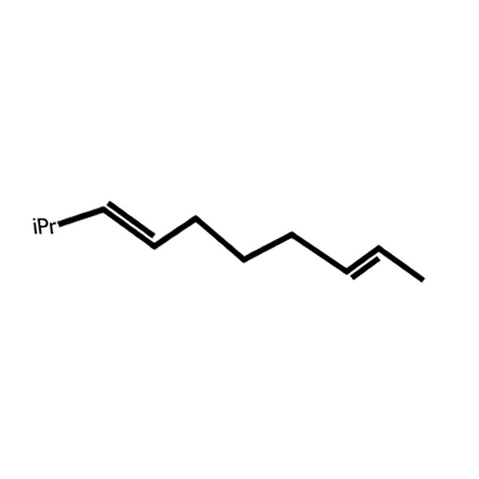 CC=CCCCC=CC(C)C